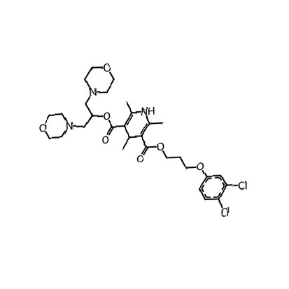 CC1=C(C(=O)OCCCOc2ccc(Cl)c(Cl)c2)C(C)C(C(=O)OC(CN2CCOCC2)CN2CCOCC2)=C(C)N1